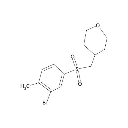 Cc1ccc(S(=O)(=O)CC2CCOCC2)cc1Br